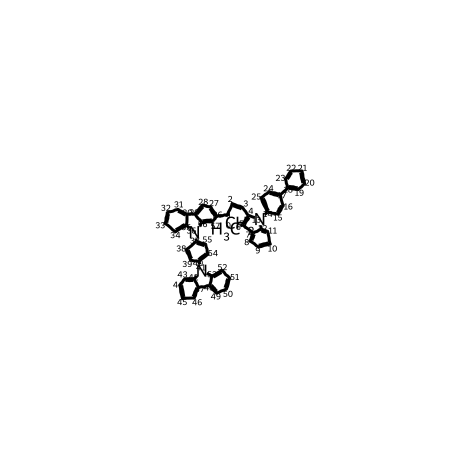 C=C(/C=C\c1c(C)c2ccccc2n1-c1ccc(-c2ccccc2)cc1)c1ccc2c3ccccc3n(-c3ccc(-n4c5ccccc5c5ccccc54)cc3)c2c1